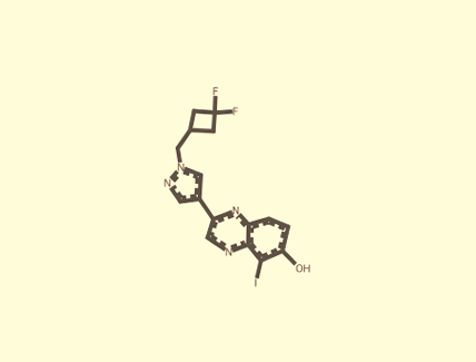 Oc1ccc2nc(-c3cnn(CC4CC(F)(F)C4)c3)cnc2c1I